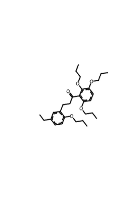 CCCOc1ccc(CC)cc1CCC(=O)c1c(OCCC)ccc(OCCC)c1OCCC